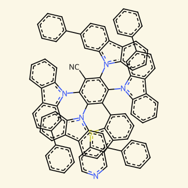 N#Cc1c(-n2c3ccccc3c3ccc(-c4ccccc4)cc32)c(-n2c3ccccc3c3ccc(-c4ccccc4)cc32)c(-c2cccc3c2sc2ccncc23)c(-n2c3ccccc3c3ccc(-c4ccccc4)cc32)c1-n1c2ccccc2c2ccc(-c3ccccc3)cc21